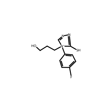 OCCC[N+]1(c2ccc(F)cc2)C=NN=C1S